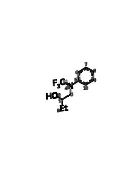 CCC(O)CN(c1ccccc1)C(F)(F)F